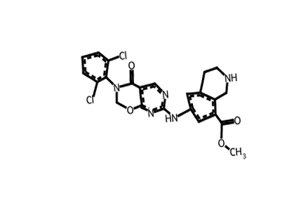 COC(=O)c1cc(Nc2ncc3c(n2)OCN(c2c(Cl)cccc2Cl)C3=O)cc2c1CNCC2